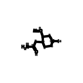 COC1CN(I)CCC1CC(N)=O